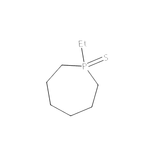 CCP1(=S)CCCCCC1